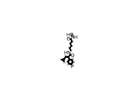 O=C(CCCCCNC(=O)/C(=C/C1CC1)c1ccc(F)cc1)NO